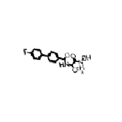 O=C(NC(C(=O)NO)C(F)(F)F)c1ccc(-c2ccc(F)cc2)cc1